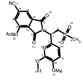 CCOc1nc([C@H](CS(C)(=O)=O)N2C(=O)c3cc(C#N)cc(NC(C)=O)c3C2=O)ccc1OC